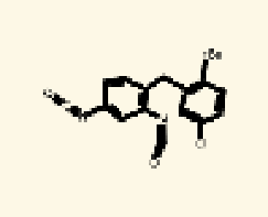 CCCCc1ccc(Cl)cc1Cc1ccc(N=C=O)cc1N=C=O